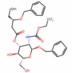 CCCCCCCCCCC[C@H](CC(=O)O[C@H]1[C@H](O)[C@@H](CO)O[C@H](OCc2ccccc2)[C@H]1NC(=O)OCC(Cl)(Cl)Cl)OCc1ccccc1